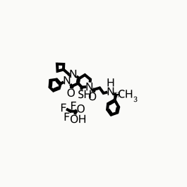 C[C@H](NCCC(=O)N1CCc2nc(C3CCC3)n(-c3ccccc3)c(=O)c2C1S)c1ccccc1.O=C(O)C(F)(F)F